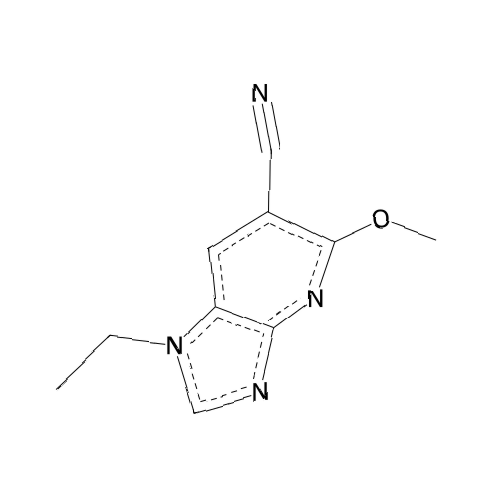 CCn1cnc2nc(OC)c(C#N)cc21